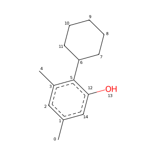 Cc1cc(C)c(C2CCCCC2)c(O)c1